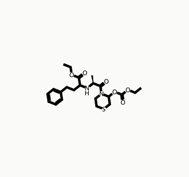 CCOC(=O)OC1CSCCN1C(=O)[C@H](C)NC(CCc1ccccc1)C(=O)OCC